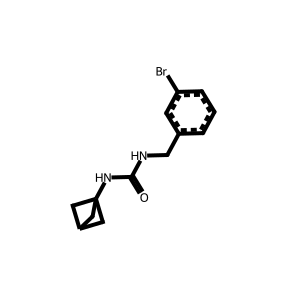 O=C(NCc1cccc(Br)c1)NC12CC(C1)C2